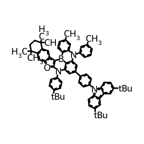 Cc1cccc(N2c3cc(C)ccc3B3c4c2cc(-c2ccc(-n5c6ccc(C(C)(C)C)cc6c6cc(C(C)(C)C)ccc65)cc2)cc4N(c2ccc(C(C)(C)C)cc2)c2oc4cc5c(cc4c23)C(C)(C)CCC5(C)C)c1